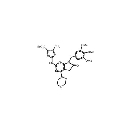 CCOC(=O)c1sc(Nc2nc(N3CCOCC3)c3c(n2)N(Cc2cc(OC)c(OC)c(OC)c2)C(=O)C3)nc1C